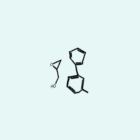 Cc1cccc(-c2ccccc2)c1.OCC1CO1